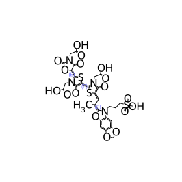 C/C(C=c1s/c(=c2/s/c(=C3/OC(=O)N(CC(=O)O)C3=O)n(CC(=O)O)c2=O)n(CC(=O)O)c1=O)=C1\Oc2cc3c(cc2N1CCCS(=O)(=O)O)OCO3